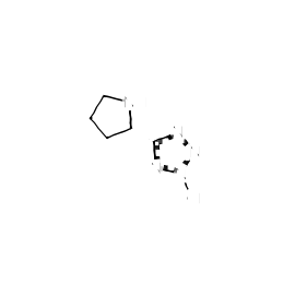 Cn1nnc([C@@H]2CCCN2)n1